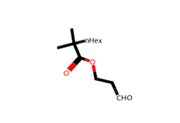 CCCCCCC(C)(C)C(=O)OCCC=O